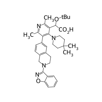 Cc1nc(C)c(C(OC(C)(C)C)C(=O)O)c(N2CCC(C)(C)CC2)c1-c1ccc2c(c1)CCN(c1noc3ccccc13)C2